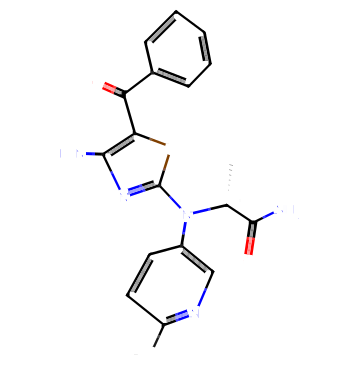 C[C@H](C(N)=O)N(c1ccc(C(F)(F)F)nc1)c1nc(N)c(C(=O)c2ccccc2)s1